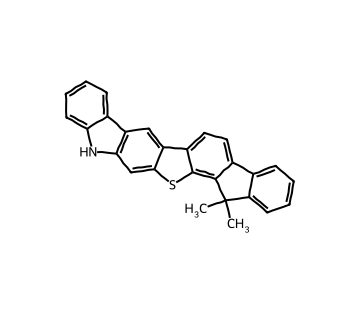 CC1(C)c2ccccc2-c2ccc3c(sc4cc5[nH]c6ccccc6c5cc43)c21